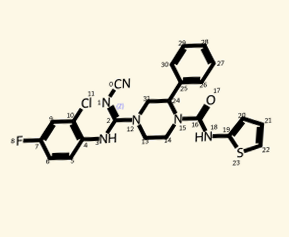 N#C/N=C(/Nc1ccc(F)cc1Cl)N1CCN(C(=O)Nc2cccs2)C(c2ccccc2)C1